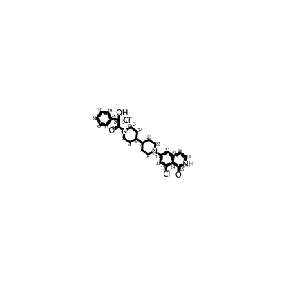 O=C(N1CCC(C2CCN(c3cc(Cl)c4c(=O)[nH]ccc4c3)CC2)CC1)[C@](O)(c1ccccc1)C(F)(F)F